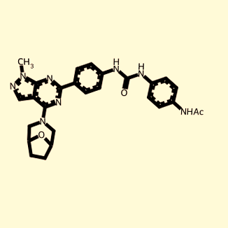 CC(=O)Nc1ccc(NC(=O)Nc2ccc(-c3nc(N4CC5CCC(C4)O5)c4cnn(C)c4n3)cc2)cc1